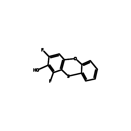 Oc1c(F)cc2c(c1F)Sc1ccccc1O2